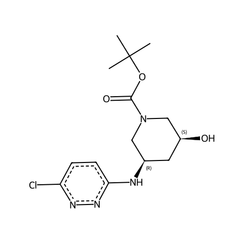 CC(C)(C)OC(=O)N1C[C@@H](O)C[C@@H](Nc2ccc(Cl)nn2)C1